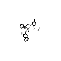 Cc1ccc(S(=O)(=O)O)c(C2CCNC(OCc3cc4ccoc4cc3F)C2)c1.c1ccncc1